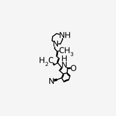 C=C/C(=C\C=C(/C)CN1CCCNCC1)c1cc2c(C#N)cccc2c(=O)[nH]1